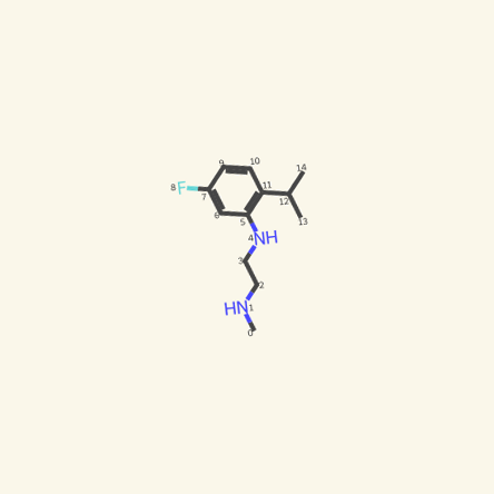 CNCCNc1cc(F)ccc1C(C)C